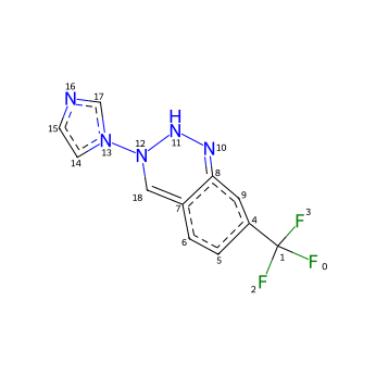 FC(F)(F)c1ccc2c(c1)=NNN(n1ccnc1)C=2